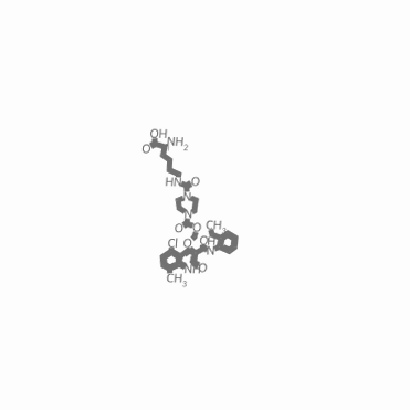 CCc1ccccc1NC(=O)c1c(OCOC(=O)N2CCN(C(=O)NCCCC[C@H](N)C(=O)O)CC2)c2c(Cl)ccc(C)c2[nH]c1=O